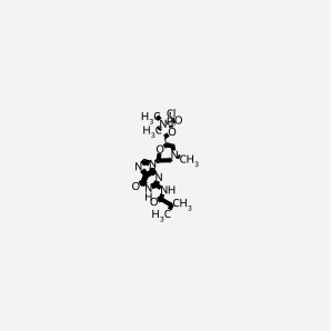 CC(C)C(=O)Nc1nc2c(ncn2C2CN(C)C[C@@H](CO[P@@](=O)(Cl)N(C)C)O2)c(=O)[nH]1